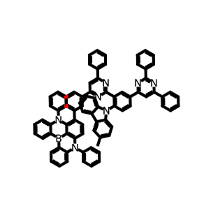 Cc1ccc2c(c1)c1ccccc1n2-c1ccc(-c2cc(-c3ccccc3)nc(-c3ccccc3)n2)cc1-c1nc(-c2ccccc2)cc(-c2cccc(-c3ccc4c5c3N(c3ccccc3)c3ccccc3B5c3ccccc3N4c3ccccc3)c2)n1